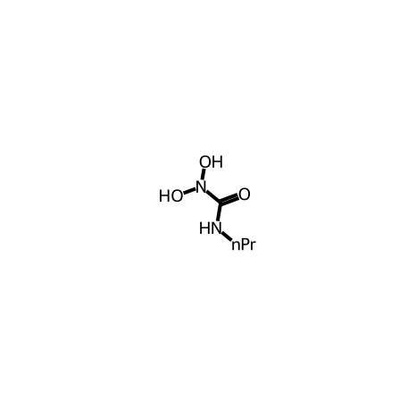 CCCNC(=O)N(O)O